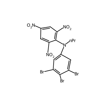 CCCN(c1cc(Br)c(Br)c(Br)c1)c1c([N+](=O)[O-])cc([N+](=O)[O-])cc1[N+](=O)[O-]